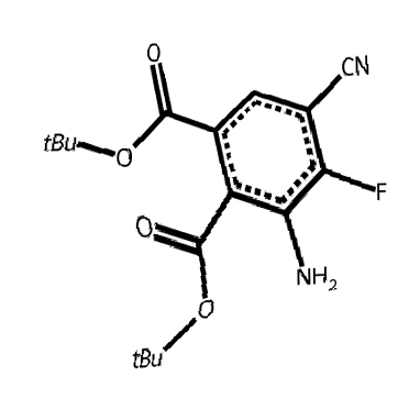 CC(C)(C)OC(=O)c1cc(C#N)c(F)c(N)c1C(=O)OC(C)(C)C